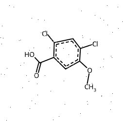 COc1cc(C(=O)O)c(Cl)cc1Cl